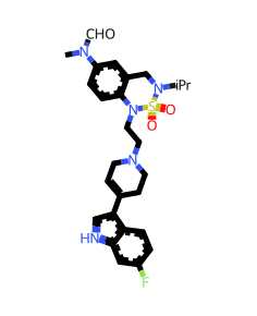 CC(C)N1Cc2cc(N(C)C=O)ccc2N(CCN2CC=C(c3c[nH]c4cc(F)ccc34)CC2)S1(=O)=O